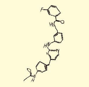 CC(=O)Nc1ccc(-c2ccnc(Nc3cccc(NC(=O)c4cccc(F)c4)c3)n2)cc1